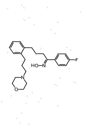 ON=C(CCCc1ccccc1CCCN1CCOCC1)c1ccc(F)cc1